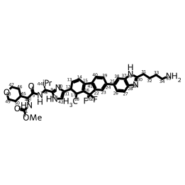 COC(=O)N[C@H](C(=O)N[C@H](c1nc(C2C=CC3=C(C2C)C(F)(F)c2cc(-c4ccc5nc(CCCCN)[nH]c5c4)ccc23)c[nH]1)C(C)C)C1CCOCC1